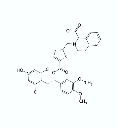 COc1ccc([C@H](Cc2c(Cl)c[n+](O)cc2Cl)OC(=O)c2ccc(CN3CCc4ccccc4C3C(=O)[O-])s2)cc1OC